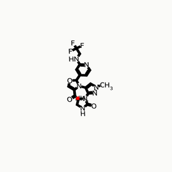 Cn1cc(N2C(C(N)=O)=COC2c2ccnc(NCC(F)(F)F)c2)c(N2CCNC2=O)n1